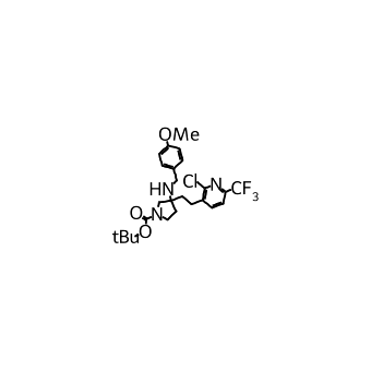 COc1ccc(CNC2(CCc3ccc(C(F)(F)F)nc3Cl)CCN(C(=O)OC(C)(C)C)C2)cc1